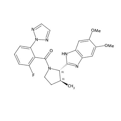 COc1cc2nc([C@@H]3[C@@H](C)CCN3C(=O)c3c(F)cccc3-n3nccn3)[nH]c2cc1OC